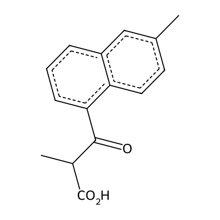 Cc1ccc2c(C(=O)C(C)C(=O)O)cccc2c1